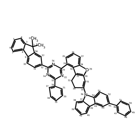 CC1(C)c2ccccc2-c2ccc(-c3nc(-c4ccccc4)nc(-c4cccc5oc6c(c45)CCC(n4c5ccccc5c5cc(-c7ccccc7)ccc54)=C6)n3)cc21